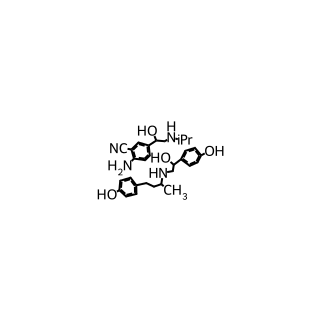 CC(C)NCC(O)c1ccc(N)c(C#N)c1.CC(CCc1ccc(O)cc1)NCC(O)c1ccc(O)cc1